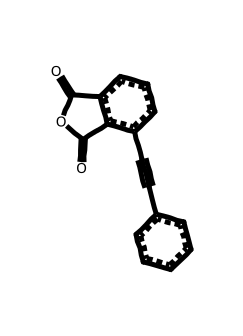 O=C1OC(=O)c2c(C#Cc3ccccc3)cccc21